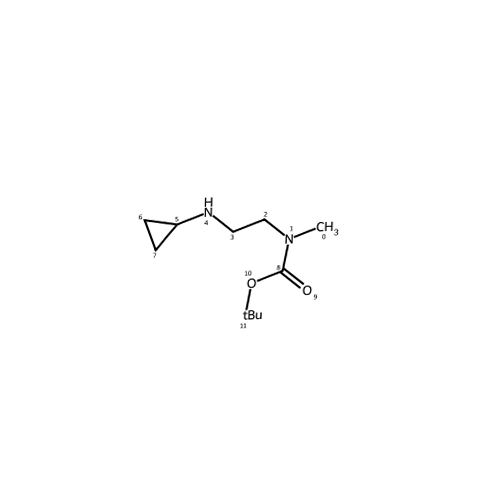 CN(CCNC1CC1)C(=O)OC(C)(C)C